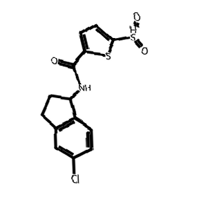 O=C(NC1CCc2cc(Cl)ccc21)c1ccc([SH](=O)=O)s1